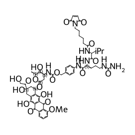 COc1cccc2c1C(=O)c1c(O)c3c(c(O)c1C2=O)C[C@@](O)(C(=O)CO)C[C@@H]3O[C@H]1C[C@H](NC(=O)OCc2ccc(NC(=O)[C@H](CCCNC(N)=O)NC(=O)C(NC(=O)CCCCCN3C(=O)C=CC3=O)C(C)C)cc2)[C@H](O)[C@H](C)O1